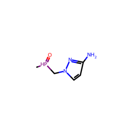 C[PH](=O)Cn1ccc(N)n1